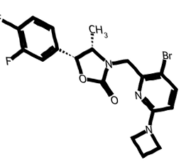 C[C@H]1[C@@H](c2ccc(F)c(F)c2)OC(=O)N1Cc1nc(N2CCC2)ccc1Br